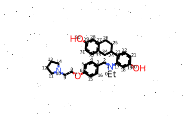 CCN(Cc1ccc(OCCN2CCCC2)cc1)c1cc(O)ccc1C1CCc2cc(O)ccc2C1